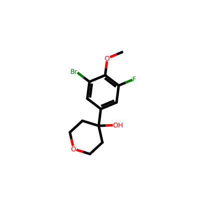 COc1c(F)cc(C2(O)CCOCC2)cc1Br